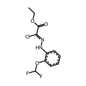 CCOC(=O)C(Cl)=NNc1ccccc1OC(F)F